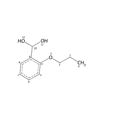 CCCOc1ccccc1C(O)O